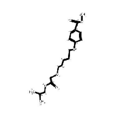 COC(=O)c1ccc(OCCCCCOCC(=O)OCC(C)C)cc1